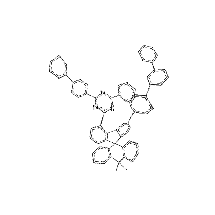 CC1(C)c2ccccc2C2(c3ccc(-c4ccc(-c5cccc(-c6ccccc6)c5)cc4)cc3-c3c(-c4nc(-c5ccccc5)nc(-c5ccc(-c6ccccc6)cc5)n4)cccc32)c2ccccc21